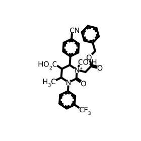 CC1C(C(=O)O)C(c2ccc(C#N)cc2)[N+](CC(=O)OCc2ccccc2)(C(=O)O)C(=O)N1c1cccc(C(F)(F)F)c1